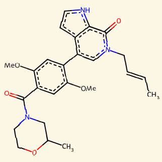 C/C=C/Cn1cc(-c2cc(OC)c(C(=O)N3CCOC(C)C3)cc2OC)c2cc[nH]c2c1=O